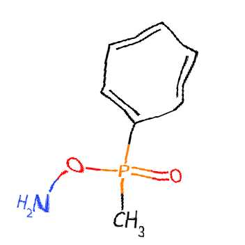 CP(=O)(ON)c1ccccc1